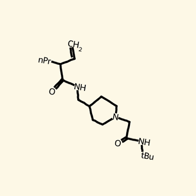 C=CC(CCC)C(=O)NCC1CCN(CC(=O)NC(C)(C)C)CC1